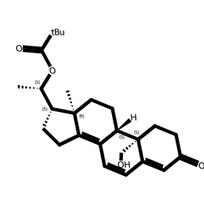 C[C@H](OC(=O)C(C)(C)C)[C@H]1CCC2=C3C=CC4=CC(=O)CC[C@]4(CO)[C@H]3CC[C@@]21C